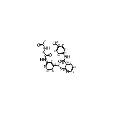 CC(=O)NCC(=O)Nc1cc(CSc2ncccc2C(=O)Nc2ccc(Cl)cc2)ccn1